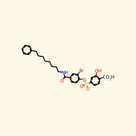 O=C(NCCCCCCCCc1ccccc1)c1ccc(OS(=O)(=O)c2ccc(C(=O)O)c(O)c2)c(Br)c1